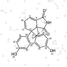 CCC12C(=O)NC(=O)C1=CC=CC2(c1ccc(O)cc1)c1ccc(O)cc1